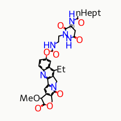 CCCCCCCC(=O)N[C@@H]1CC(=O)NN(CCNC(=O)Oc2ccc3nc4c(c(CC)c3c2)Cn2c-4cc3c(c2=O)COC(=O)C3OC)C1=O